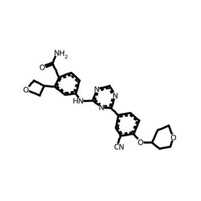 N#Cc1cc(-c2ncnc(Nc3ccc(C(N)=O)c(C4COC4)c3)n2)ccc1OC1CCOCC1